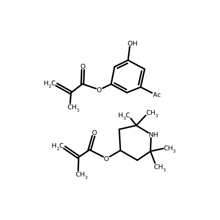 C=C(C)C(=O)OC1CC(C)(C)NC(C)(C)C1.C=C(C)C(=O)Oc1cc(O)cc(C(C)=O)c1